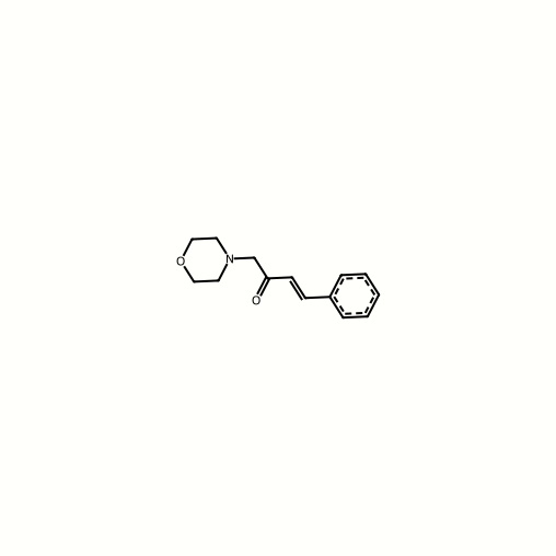 O=C(C=Cc1ccccc1)CN1CCOCC1